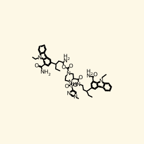 CCC(CCNC(=O)C1CN(C(=O)OC(N)CC(CC)c2cc(C(N)=O)c3c(c2)c2ccccc2n3CC)CCN1S(=O)(=O)c1cn(C)cn1)c1cc(C(N)=O)c2c(c1)c1ccccc1n2CC